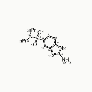 CCCN(CCC)S(=O)(=O)c1ccc2nc(N)sc2c1